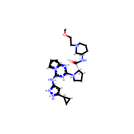 COCCN1CCC[C@@H](NC(=O)[C@@H]2CCCN2c2nc(Nc3cc(C4CC4)[nH]n3)n3cccc3n2)C1